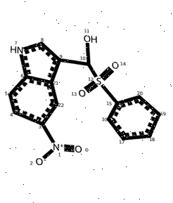 O=[N+]([O-])c1ccc2[nH]cc(C(O)S(=O)(=O)c3ccccc3)c2c1